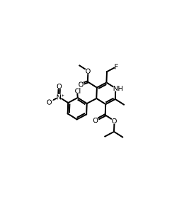 COC(=O)C1=C(CF)NC(C)=C(C(=O)OC(C)C)C1c1cccc([N+](=O)[O-])c1Cl